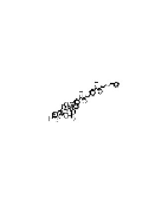 C[C@H](N(Cc1ccc(F)cc1)C(=O)CN1C(=O)O[C@@]2(CCc3cc(NC(=O)CCc4ccc(NC(=O)CCCCCC5CCCC5)cc4)ccc32)C1=O)C(F)(F)F